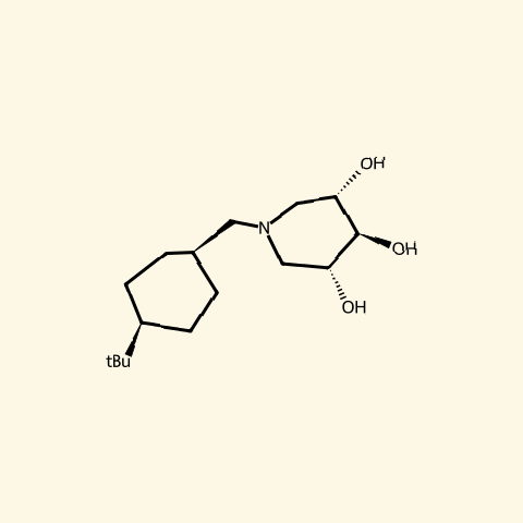 CC(C)(C)[C@H]1CC[C@@H](CN2C[C@@H](O)[C@H](O)[C@@H](O)C2)CC1